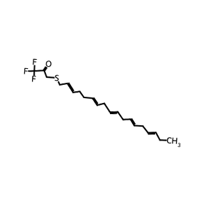 CCC=CCC=CCC=CCC=CCCC=CCSCC(=O)C(F)(F)F